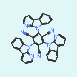 N#Cc1c(-n2c3ccccc3c3cccnc32)c(C#N)c(-n2c3ccccc3c3cccnc32)c(C#N)c1-n1c2ccccc2c2cccnc21